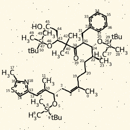 C/C(=C/C[C@H](O[Si](C)(C)C(C)(C)C)/C(C)=C/c1csc(C)n1)CCC[C@H](C)[C@@H](O[Si](C)(C)C(C)(C)C)[C@H](Cc1ccccc1)C(=O)C(C)(C)[C@H](CC(=O)O)O[Si](C)(C)C(C)(C)C